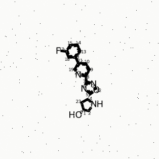 O[C@H]1CN[C@@H](c2nc(-c3ccc(-c4cccc(F)c4)cn3)no2)C1